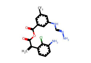 C=C(C(=O)OC(=O)c1cc(NC=NN)cc(C(F)(F)F)c1)c1cccc(N)c1Cl